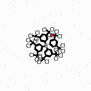 ClC(Cl)(Cl)c1cc([B-](c2cc(C(Cl)(Cl)Cl)cc(C(Cl)(Cl)Cl)c2)(c2cc(C(Cl)(Cl)Cl)cc(C(Cl)(Cl)Cl)c2)c2cc(C(Cl)(Cl)Cl)cc(C(Cl)(Cl)Cl)c2)cc(C(Cl)(Cl)Cl)c1